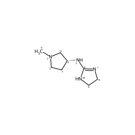 CN1CC[C@@H](NC2=NCCN2)C1